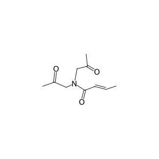 CC=CC(=O)N(CC(C)=O)CC(C)=O